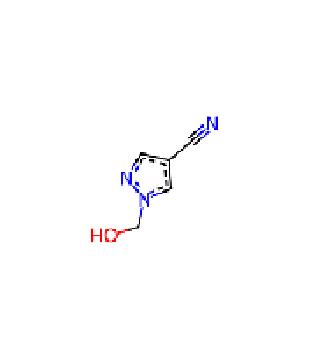 N#Cc1cnn(CO)c1